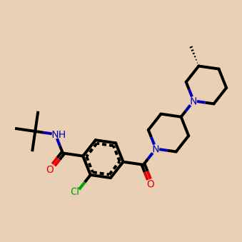 C[C@@H]1CCCN(C2CCN(C(=O)c3ccc(C(=O)NC(C)(C)C)c(Cl)c3)CC2)C1